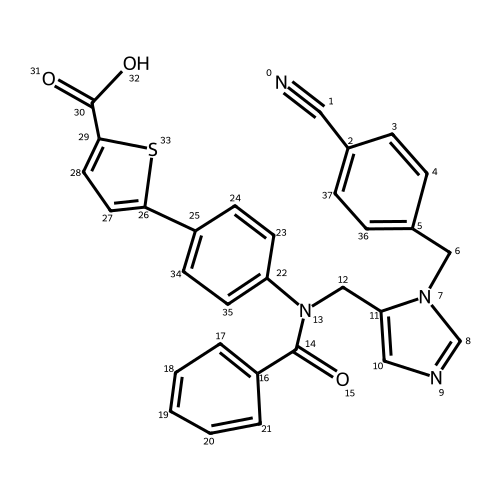 N#Cc1ccc(Cn2cncc2CN(C(=O)c2ccccc2)c2ccc(-c3ccc(C(=O)O)s3)cc2)cc1